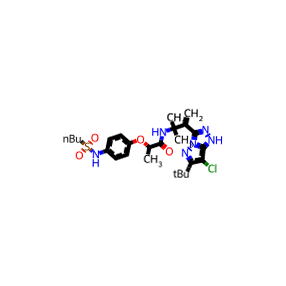 C=C(c1n[nH]c2c(Cl)c(C(C)(C)C)nn12)C(C)(C)NC(=O)C(C)Oc1ccc(NS(=O)(=O)CCCC)cc1